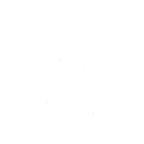 C\C=C1/C(=C\C(=C\Cl)Oc2ccc(C)cc2)OCCC1C(=O)O